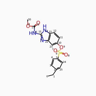 CCc1ccc(S(=O)(=O)Oc2ccc3[nH]c(NC(=O)OC)nc3c2)cc1